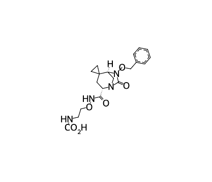 O=C(O)NCCONC(=O)[C@@H]1CC2(CC2)[C@@H]2CN1C(=O)N2OCc1ccccc1